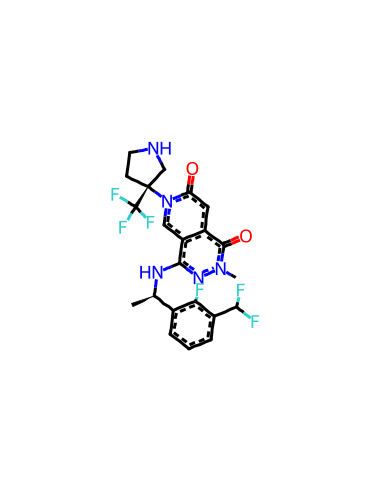 C[C@@H](Nc1nn(C)c(=O)c2cc(=O)n([C@]3(C(F)(F)F)CCNC3)cc12)c1cccc(C(F)F)c1F